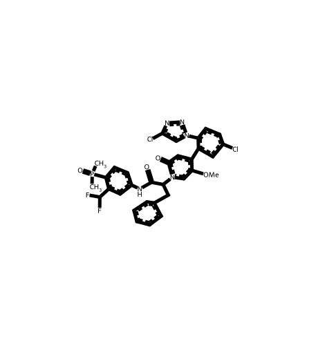 COc1cn(C(Cc2ccccc2)C(=O)Nc2ccc(P(C)(C)=O)c(C(F)F)c2)c(=O)cc1-c1cc(Cl)ccc1-n1cc(Cl)nn1